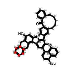 CC(C)(C)c1ccc2c3cc4c5c6c(c(C#N)cc5n5c7cc8c(cc7c(c3oc3cccc1c32)c45)CCCCCc1ccccc1C8=O)C1c2ccccc2C6c2ccccc21